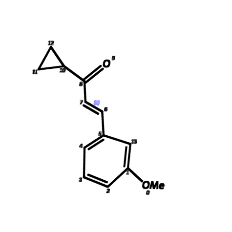 COc1cccc(/C=C/C(=O)C2CC2)c1